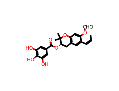 C/C=C\c1cc2c(cc1OC=O)OC(C)(C)[C@@H](OC(=O)c1cc(O)c(O)c(O)c1)C2